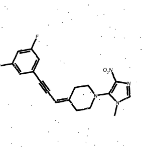 Cn1cnc([N+](=O)[O-])c1N1CCC(=CC#Cc2cc(F)cc(F)c2)CC1